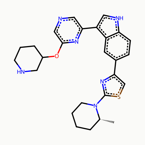 C[C@@H]1CCCCN1c1nc(-c2ccc3[nH]cc(-c4cncc(OC5CCCNC5)n4)c3c2)cs1